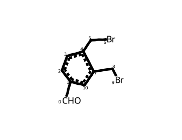 O=Cc1ccc(CBr)c(CBr)c1